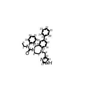 CCN(C(=O)N1CCN(Cc2c[nH]cn2)c2ccc(-c3ccccc3)cc2C1)c1ccccc1